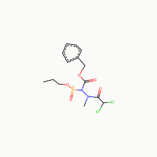 CCCO[PH](=O)N(C(=O)OCc1ccccc1)N(C)C(=O)C(Cl)Cl